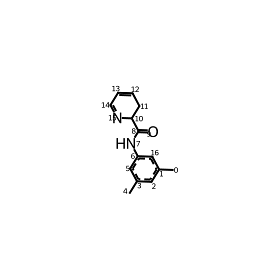 Cc1cc(C)cc(NC(=O)C2CC=CC=N2)c1